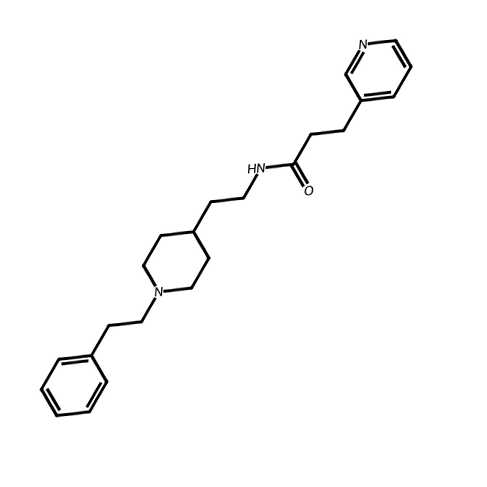 O=C(CCc1cccnc1)NCCC1CCN(CCc2ccccc2)CC1